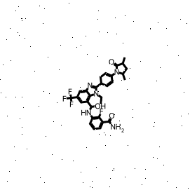 CCn1c(C2C=CC(N3C(=O)C(C)CC3C)=CC2)nc2cc(C(F)(F)F)cc(C(O)Nc3cccc(C(N)=O)c3F)c21